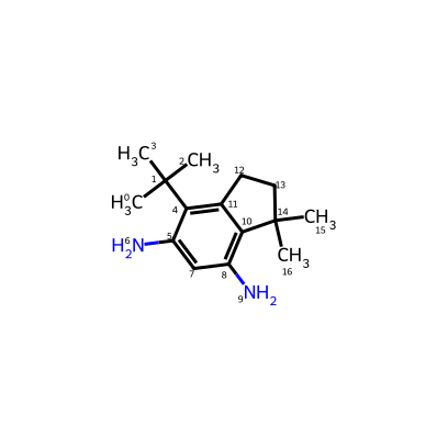 CC(C)(C)c1c(N)cc(N)c2c1CCC2(C)C